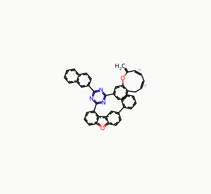 C=C1/C=C\C=C/Cc2ccc(-c3nc(-c4ccc5ccccc5c4)nc(-c4cccc5oc6ccc(-c7ccccc7)cc6c45)n3)cc2O1